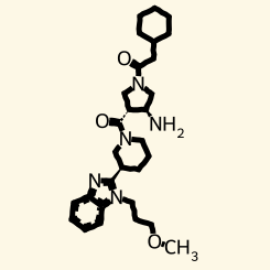 COCCCn1c([C@@H]2CCCN(C(=O)[C@@H]3CN(C(=O)CC4CCCCC4)C[C@H]3N)C2)nc2ccccc21